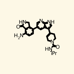 CC(C)NC(=O)N1CC=C(c2c[nH]c3ncc(-c4ccc(N)c5c4CNC5=O)cc23)CC1